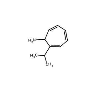 CC(C)C1=CC=CC=CC1N